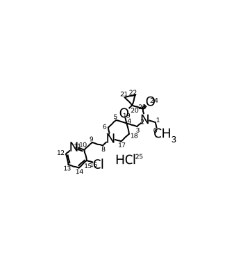 CCN1CC2(CCN(CCc3ncccc3Cl)CC2)OC2(CC2)C1=O.Cl